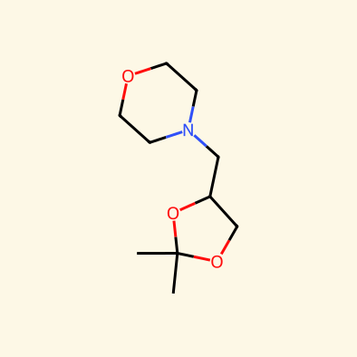 CC1(C)OCC(CN2CCOCC2)O1